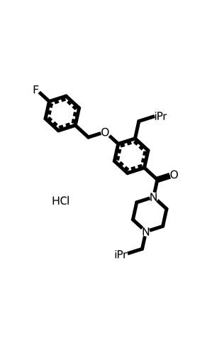 CC(C)Cc1cc(C(=O)N2CCN(CC(C)C)CC2)ccc1OCc1ccc(F)cc1.Cl